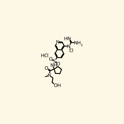 CN(CCO)C(=O)C1(NS(=O)(=O)c2ccc3c(N(Cl)C(=N)N)cncc3c2)CCCC1.Cl